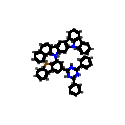 c1ccc(-c2nc(-c3ccccc3)nc(-c3cc(-n4c5cc6c(cc5c5ccc7ccccc7c54)c4cccc5c7ccccc7n6c54)c4sc5ccccc5c4c3)n2)cc1